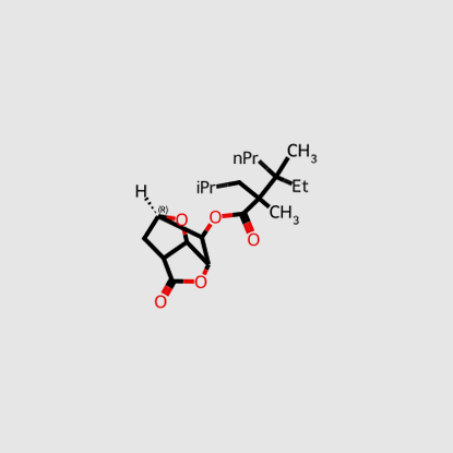 CCCC(C)(CC)C(C)(CC(C)C)C(=O)OC1C2OC(=O)C3C[C@H]1OC32